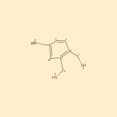 CCCc1ccc(CS)c(CS)c1